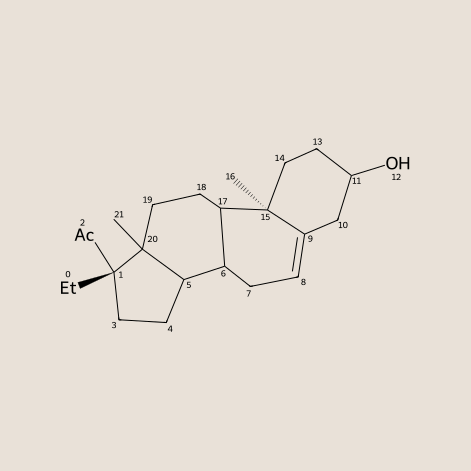 CC[C@]1(C(C)=O)CCC2C3CC=C4CC(O)CC[C@]4(C)C3CCC21C